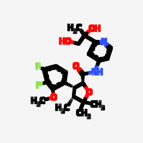 COc1c([C@@H]2[C@@H](C(=O)Nc3ccnc(C(C)(O)CO)c3)OC(C)(C)[C@@H]2C)ccc(F)c1F